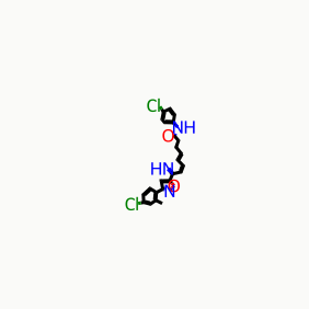 Cc1cc(Cl)ccc1-c1cc(C(=N)/C=C\C=C\CCC(=O)Nc2ccc(Cl)cc2)on1